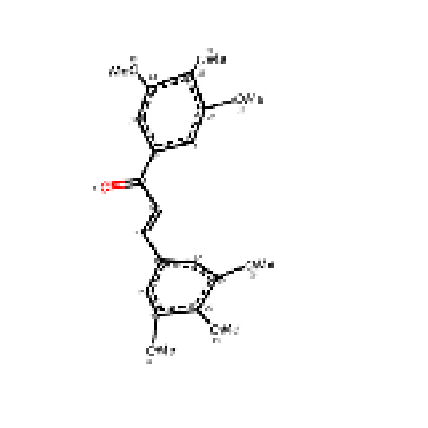 COc1cc(/C=C/C(=O)c2cc(OC)c(OC)c(OC)c2)cc(OC)c1OC